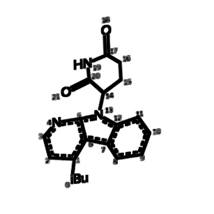 CCC(C)c1ccnc2c1c1ccccc1n2C1CCC(=O)NC1=O